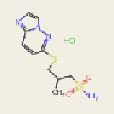 CC(CSc1ccc2nccn2n1)CS(N)(=O)=O.Cl